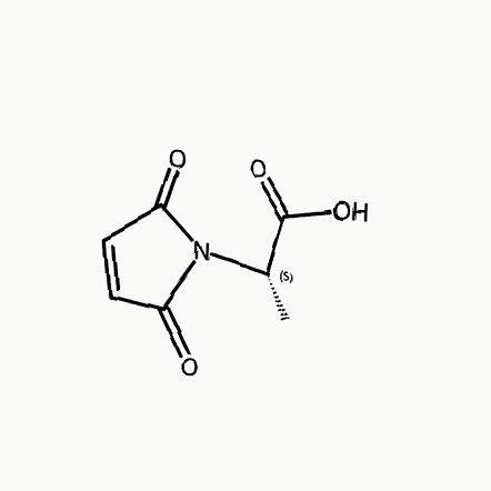 C[C@@H](C(=O)O)N1C(=O)C=CC1=O